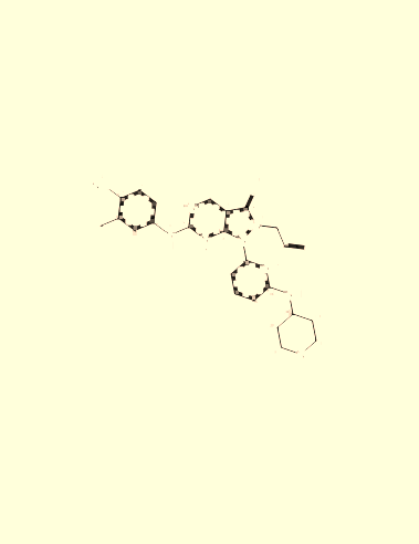 C=CCn1c(=O)c2cnc(Nc3ccc(C#N)c(C)c3)nc2n1-c1cccc(NC2CCNCC2)n1